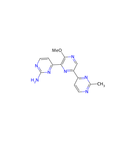 COc1ncc(-c2ccnc(C)n2)nc1-c1ccnc(N)n1